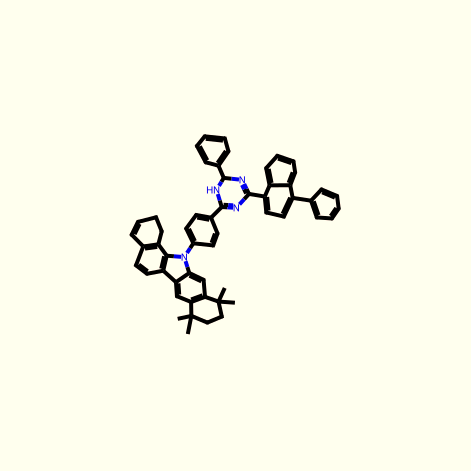 CC1(C)CCC(C)(C)c2cc3c(cc21)c1ccc2c(c1n3-c1ccc(C3=NC(c4ccc(-c5ccccc5)c5ccccc45)=NC(c4ccccc4)N3)cc1)CCC=C2